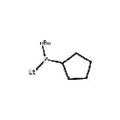 CCCCP(CC)C1CCCC1